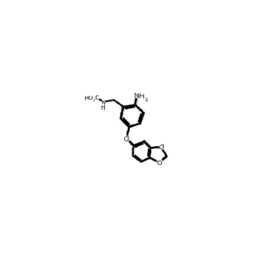 Nc1ccc(Oc2ccc3c(c2)OCO3)cc1CNC(=O)O